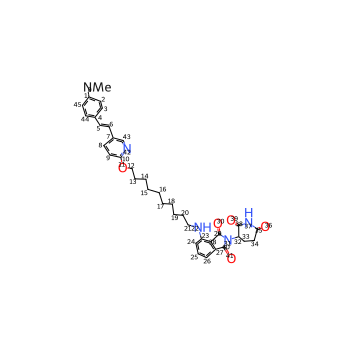 CNc1ccc(/C=C/c2ccc(OCCCCCCCCCCNc3cccc4c3C(=O)N(C3CCC(=O)NC3=O)C4=O)nc2)cc1